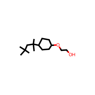 CC(C)(C)CC(C)(C)C1CCC(OCCO)CC1